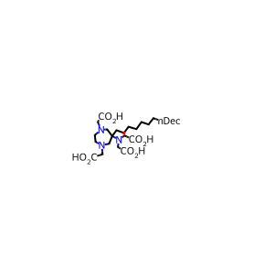 CCCCCCCCCCCCCCCCCC1(N(CC(=O)O)CC(=O)O)CN(CC(=O)O)CCN(CC(=O)O)C1